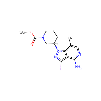 CC(C)(C)OC(=O)N1CCC[C@@H](n2nc(I)c3c(N)ncc(C#N)c32)C1